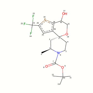 C[C@H]1C[C@@]2(CCN1C(=O)OC(C)(C)C)OCC(O)c1sc(C(F)(F)F)cc12